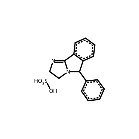 O=S(=O)(O)O.c1ccc(C2c3ccccc3C3=NCCN32)cc1